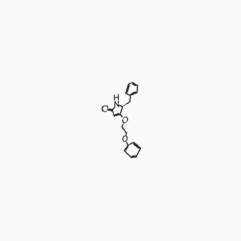 O=C1C=C(OCCOc2ccccc2)[C@H](Cc2ccccc2)N1